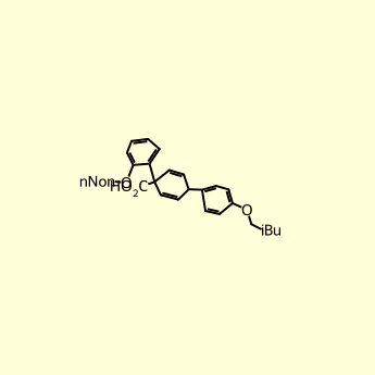 CCCCCCCCCOc1ccccc1C1(C(=O)O)C=CC(c2ccc(OCC(C)CC)cc2)C=C1